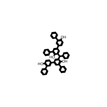 Oc1ccc(-c2cc(-c3ccccc3)c(O)c(C(c3ccccc3)c3cc(-c4ccc(O)c(-c5ccccc5)c4)cc(-c4ccccc4)c3O)c2)cc1-c1ccccc1